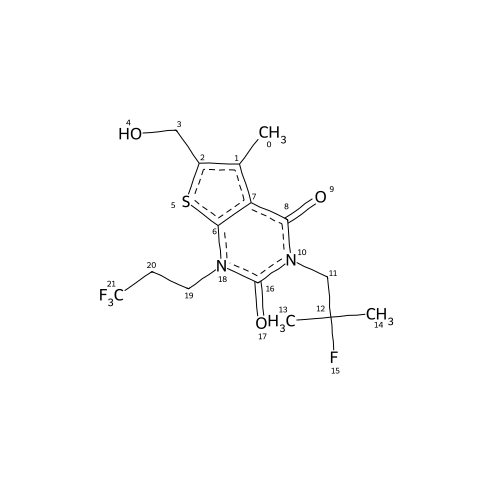 Cc1c(CO)sc2c1c(=O)n(CC(C)(C)F)c(=O)n2CCC(F)(F)F